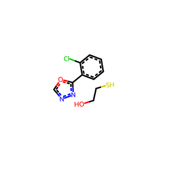 Clc1ccccc1-c1nnco1.OCCS